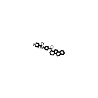 O=C(Nc1ccc(C(=O)C2=c3ccc4c(c3CCC2)CC=c2ccccc2=4)cc1)c1ccncc1